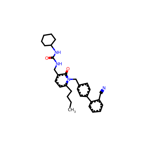 CCCCc1ccc(CNC(=O)NC2CCCCC2)c(=O)n1Cc1ccc(-c2ccccc2C#N)cc1